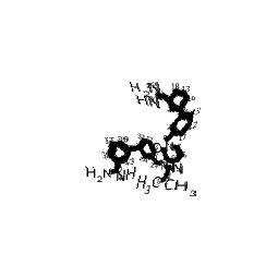 CC(C)c1nc2ccn(Cc3cccc(-c4cccc(C(=N)N)c4)c3)c(=O)c2n1Cc1cccc(-c2cccc(C(=N)N)c2)c1